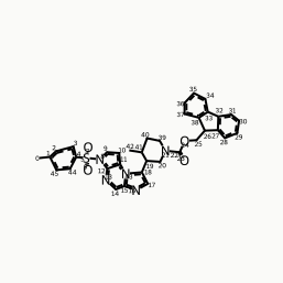 Cc1ccc(S(=O)(=O)n2ccc3c2ncc2ncc(C4CN(C(=O)OCC5c6ccccc6-c6ccccc65)CCC4C)n23)cc1